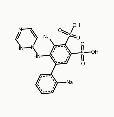 O=S(=O)(O)c1cc(-c2cccc[c]2[Na])c(NN2C=CN=CN2)[c]([Na])c1S(=O)(=O)O